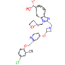 N#Cc1cc(Cl)ccc1OCc1cc(OC2CN(Cc3nc4ccc(C(O)O)cc4n3C[C@@H]3CCO3)C2)ccn1